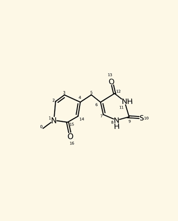 Cn1ccc(Cc2c[nH]c(=S)[nH]c2=O)cc1=O